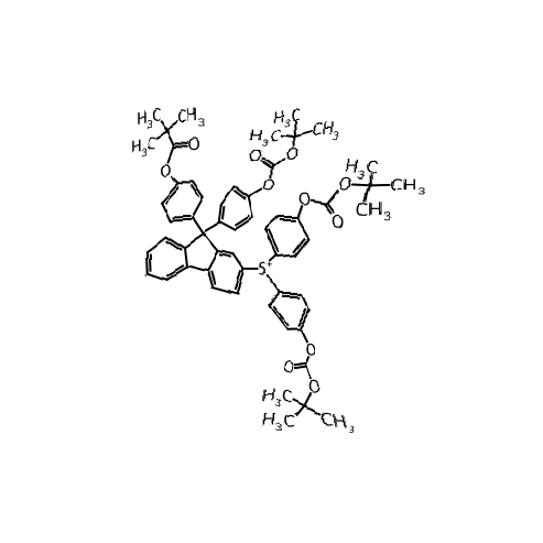 CC(C)(C)OC(=O)Oc1ccc([S+](c2ccc(OC(=O)OC(C)(C)C)cc2)c2ccc3c(c2)C(c2ccc(OC(=O)OC(C)(C)C)cc2)(c2ccc(OC(=O)C(C)(C)C)cc2)c2ccccc2-3)cc1